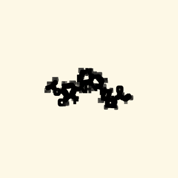 C=CC(=O)N1CCC12CN(c1ccc3ncnc(Nc4ccc(OC(C)C)c(Cl)c4F)c3n1)C2